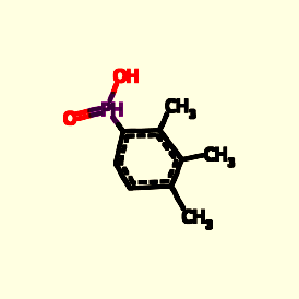 Cc1ccc([PH](=O)O)c(C)c1C